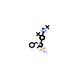 Cc1c(S(N)(=O)=O)cc(-c2ccc(-c3ncn(C(C)(C)C)n3)c(C(C)(C)C)c2)n1CC1CCCCC1